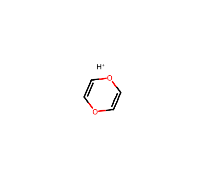 C1=COC=CO1.[H+]